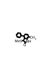 CSC1C(=O)Nc2c(C)ccc(-c3ccccc3)c21